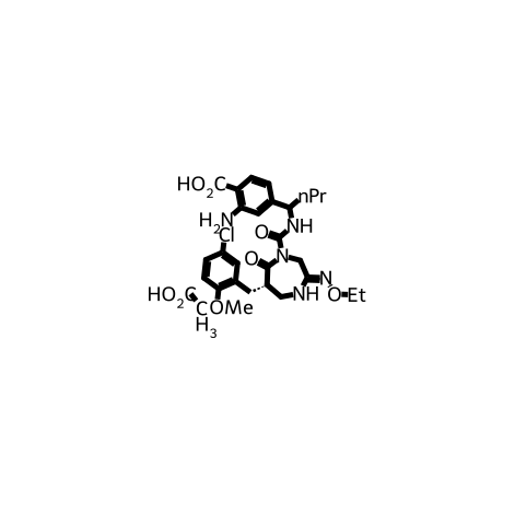 CC(=O)O.CCCC(NC(=O)N1C/C(=N/OCC)NC[C@H](Cc2cc(Cl)ccc2OC)C1=O)c1ccc(C(=O)O)c(N)c1